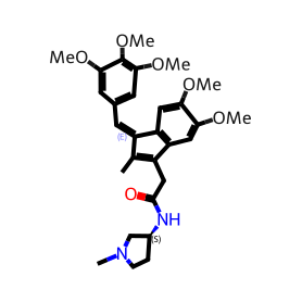 COc1cc2c(cc1OC)/C(=C\c1cc(OC)c(OC)c(OC)c1)C(C)=C2CC(=O)N[C@H]1CCN(C)C1